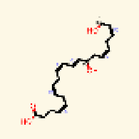 C[C@@H](O)/C=C\C/C=C\C[C@@H](O)/C=C/C=C\C/C=C\C/C=C\CCC(=O)O